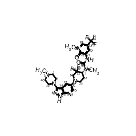 CN1CCN(c2n[nH]c3ncc(N4CC[C@@H](N(C)C(=O)Nc5cc(C(F)(F)F)cn(C)c5=O)C(F)(F)C4)cc23)CC1